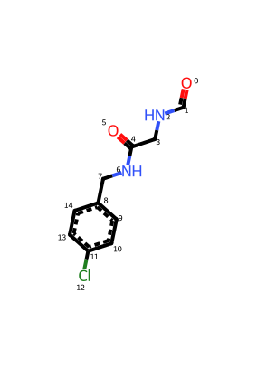 O=CNCC(=O)NCc1ccc(Cl)cc1